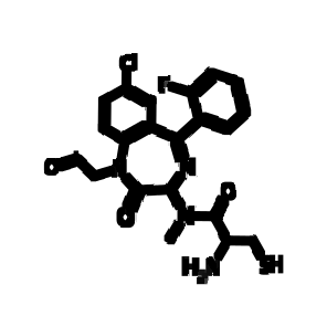 CN(C(=O)C(N)CS)C1N=C(c2ccccc2F)c2cc(Cl)ccc2N(C[C]=O)C1=O